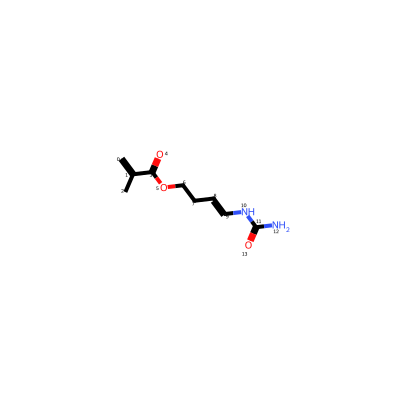 C=C(C)C(=O)OCCC=CNC(N)=O